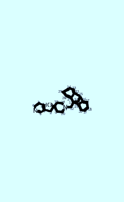 OC1(Cc2cccnc2)CCN(CC23CC(c4ccccc42)c2ccccc23)CC1